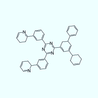 C1=CCC(c2cccc(-c3nc(C4=CC(C5CC=CCC5)=CC(c5ccccc5)C4)nc(-c4cccc(C5=NC=CCC5)c4)n3)c2)N=C1